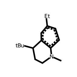 CCc1ccc2c(c1)C(C(C)(C)C)CCN2C